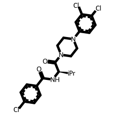 CC(C)[C@@H](NC(=O)c1ccc(Cl)cc1)C(=O)N1CCN(c2ccc(Cl)c(Cl)c2)CC1